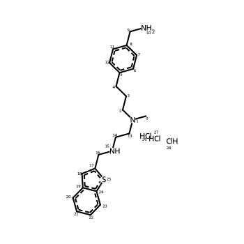 CN(CCCc1ccc(CN)cc1)CCNCc1cc2ccccc2s1.Cl.Cl.Cl